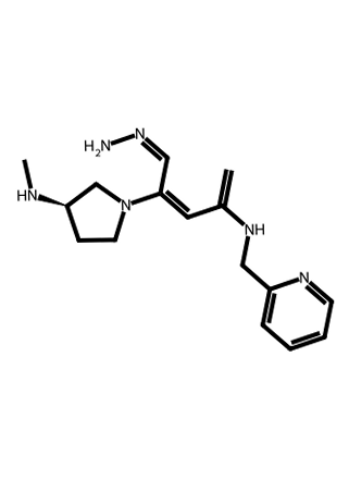 C=C(/C=C(\C=N/N)N1CC[C@@H](NC)C1)NCc1ccccn1